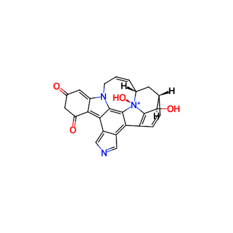 O=C1C=c2c(c3c4c(c5c6c3n2C/C=C\[C@@H]2C[C@@H]3C=CC5=C([C@@H]3O)[N@+]62O)C=NC=4)C(=O)C1